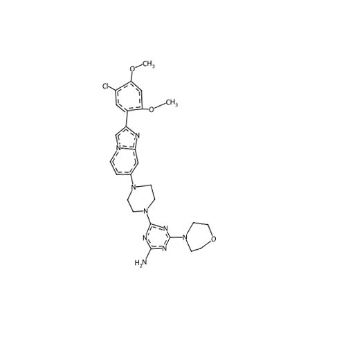 COc1cc(OC)c(-c2cn3ccc(N4CCN(c5nc(N)nc(N6CCOCC6)n5)CC4)cc3n2)cc1Cl